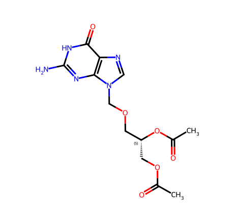 CC(=O)OC[C@H](COCn1cnc2c(=O)[nH]c(N)nc21)OC(C)=O